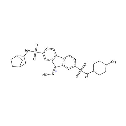 O=S(=O)(NC1CCC(O)CC1)c1ccc2c(c1)/C(=N/O)c1cc(S(=O)(=O)NC3CC4CCC3C4)ccc1-2